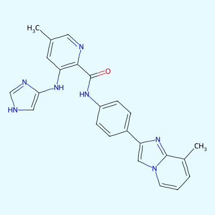 Cc1cnc(C(=O)Nc2ccc(-c3cn4cccc(C)c4n3)cc2)c(Nc2c[nH]cn2)c1